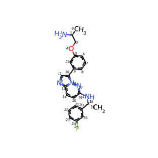 C[C@H](N)COc1cccc(-c2cnc3ccc(N[C@H](C)c4cccc(F)c4)nn23)c1